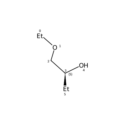 CCOC[C@@H](O)CC